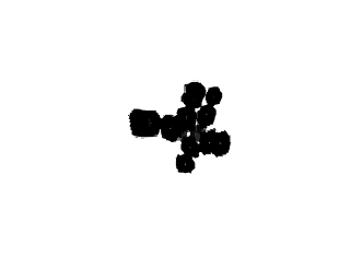 c1ccc(-c2ccc(N3B4c5c(cc(-c6ccccc6)cc5-n5c6ccc(C78CC9CC%10CC(C7)C%109C8)cc6c6cc(C78CC9CC%10CC9(C7)C%10C8)cc4c65)-c4cc5ccccc5cc43)cc2)cc1